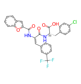 O=C(N[C@@H](Cc1ccc(Cl)cc1)C(=O)O)C(=Cc1cccc(C(F)(F)F)c1)NC(=O)c1cc2ccccc2o1